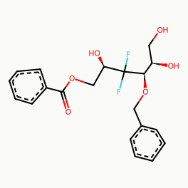 O=C(OC[C@@H](O)C(F)(F)[C@H](OCc1ccccc1)[C@H](O)CO)c1ccccc1